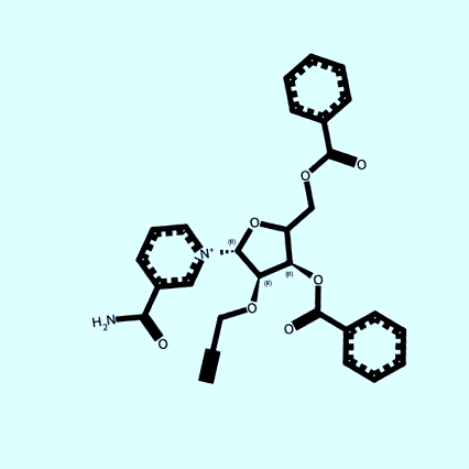 C#CCO[C@@H]1[C@H](OC(=O)c2ccccc2)C(COC(=O)c2ccccc2)O[C@H]1[n+]1cccc(C(N)=O)c1